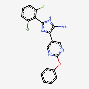 Nc1[nH]c(-c2c(F)cccc2Cl)nc1-c1cnc(Oc2ccccc2)nc1